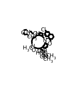 C[C@H]1COCCN1CCO[C@H]1/C=C/CCN(C)C(=O)C[C@](O)(C(=O)NS(=O)(=O)N(C)C)c2ccc3c(c2)N(C[C@@H]2CC[C@H]21)C[C@@]1(CCCc2cc(Cl)ccc21)CO3